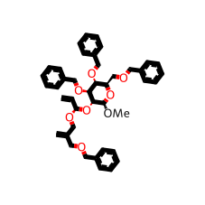 C=C[C@H](OCC(=C)COCc1ccccc1)O[C@H]1[C@H](OC)O[C@H](COCc2ccccc2)[C@@H](OCc2ccccc2)[C@@H]1OCc1ccccc1